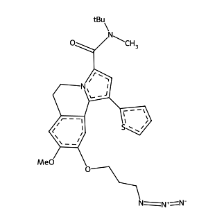 COc1cc2c(cc1OCCCN=[N+]=[N-])-c1c(-c3cccs3)cc(C(=O)N(C)C(C)(C)C)n1CC2